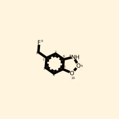 FCc1ccc2c(c1)NOO2